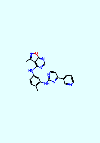 Cc1ccc(Nc2ncnc3onc(C)c23)cc1Nc1nccc(-c2cccnc2)n1